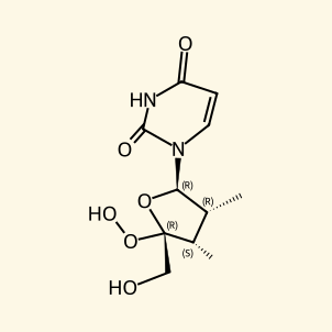 C[C@H]1[C@H](n2ccc(=O)[nH]c2=O)O[C@@](CO)(OO)[C@H]1C